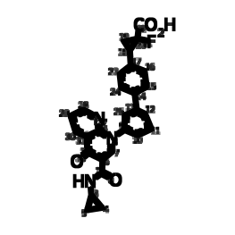 O=C(NC1CC1)c1cn(-c2cccc(-c3ccc(C4CC4(F)C(=O)O)cc3)c2)c2ncccc2c1=O